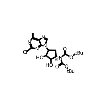 Cc1nc(Cl)nc2c1ncn2C1C[C@H](N(C(=O)OC(C)(C)C)C(=O)OC(C)(C)C)C(O)C1O